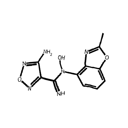 Cc1nc2c(N(O)C(=N)c3nonc3N)cccc2o1